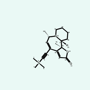 C[C@H]1C=C(C#C[Si](C)(C)C)C2=CC(=O)O[C@]2(C)[C@H]2CCCCN12